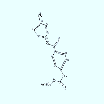 CCCCCCCOC(=O)Oc1ccc(C(=O)Oc2ccc(C#N)cc2)cc1